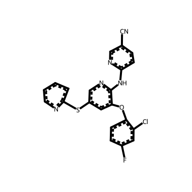 N#Cc1ccc(Nc2ncc(Sc3ccccn3)cc2Oc2ccc(F)cc2Cl)nc1